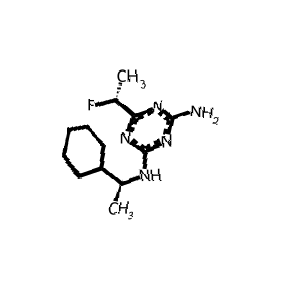 C[C@H](Nc1nc(N)nc([C@@H](C)F)n1)C1CCCCC1